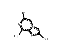 Cc1nc(Br)cn2cc(O)nc12